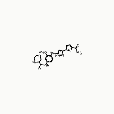 CCC(Nc1ccc(Nc2cc(-c3ccc(C(N)=O)s3)n[nH]2)c(OC)c1)C1COCCN1